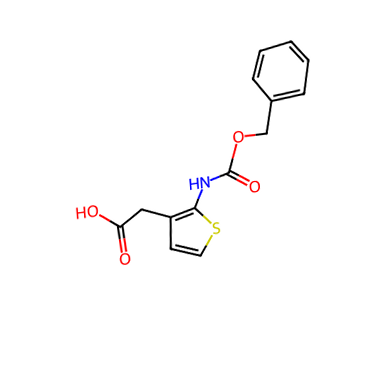 O=C(O)Cc1ccsc1NC(=O)OCc1ccccc1